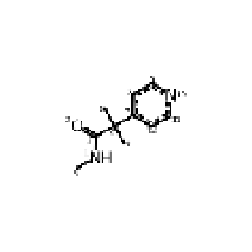 CNC(=O)C(C)(C)c1ccncc1